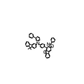 CC1(C)c2ccccc2-c2cc(N(c3ccc(-c4c5nc(-c6ccccc6)oc5cc5c4oc4ccccc45)cc3)c3cccc(-c4ccccc4)c3)ccc21